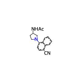 CC(=O)NC1CCN(c2ccc(C#N)c3ccccc23)C1